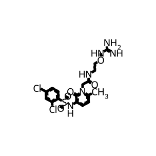 Cc1ccc(NS(=O)(=O)c2ccc(Cl)cc2Cl)c(=O)n1CC(=O)NCCONC(=N)N